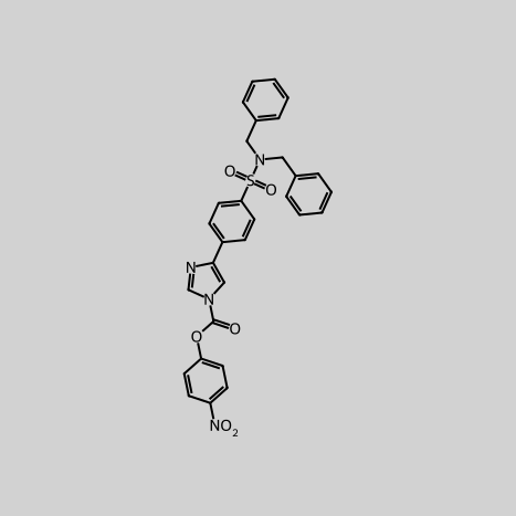 O=C(Oc1ccc([N+](=O)[O-])cc1)n1cnc(-c2ccc(S(=O)(=O)N(Cc3ccccc3)Cc3ccccc3)cc2)c1